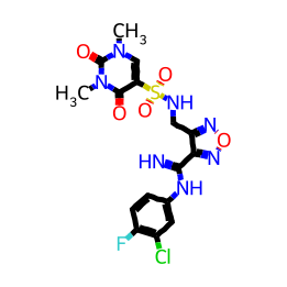 Cn1cc(S(=O)(=O)NCc2nonc2C(=N)Nc2ccc(F)c(Cl)c2)c(=O)n(C)c1=O